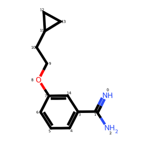 N=C(N)c1cc[c]c(OCCC2CC2)c1